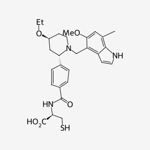 CCO[C@H]1CCN(Cc2c(OC)cc(C)c3[nH]ccc23)[C@H](c2ccc(C(=O)N[C@@H](CS)C(=O)O)cc2)C1